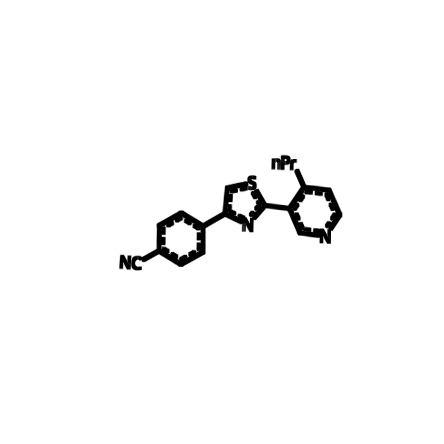 CCCc1ccncc1-c1nc(-c2ccc(C#N)cc2)cs1